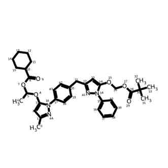 Cc1cc(OC(C)OC(=O)C2CCCCC2)n(-c2ccc(Cc3cc(OCOC(=O)C(C)(C)C)n(-c4ccccc4)n3)cc2)n1